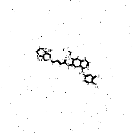 O=C(C=CCN1C[C@@H]2OCCO[C@@H]2C1)Nc1cc2c(Nc3ccc(F)c(Cl)c3)ncnc2cc1OCC(F)(F)F